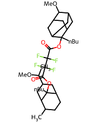 CCCCC1(OC(=O)C(F)(F)C(F)(F)C(=O)OC2(CCCC)C3CCC(C)C2CC(C(C)OC)C3)C2CC3CC1CC(C2)C3OC